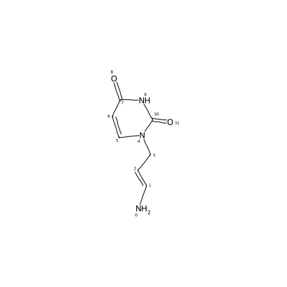 NC=CCn1ccc(=O)[nH]c1=O